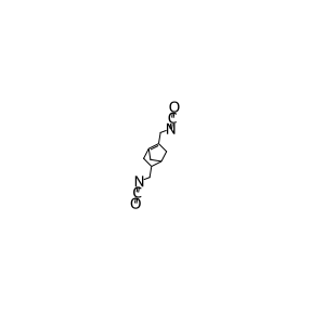 O=C=NCC1=C2CC(CN=C=O)C(C1)C2